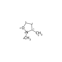 CC1CCON1C